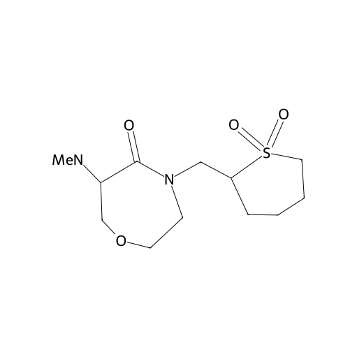 CNC1COCCN(CC2CCCCS2(=O)=O)C1=O